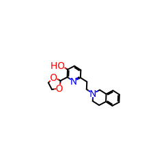 Oc1ccc(CCN2CCc3ccccc3C2)nc1C1OCCO1